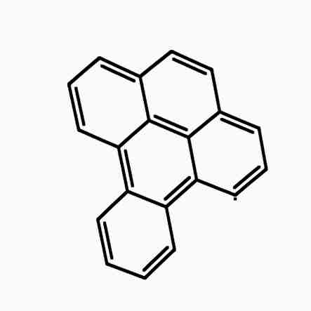 [c]1ccc2ccc3cccc4c5ccccc5c1c2c34